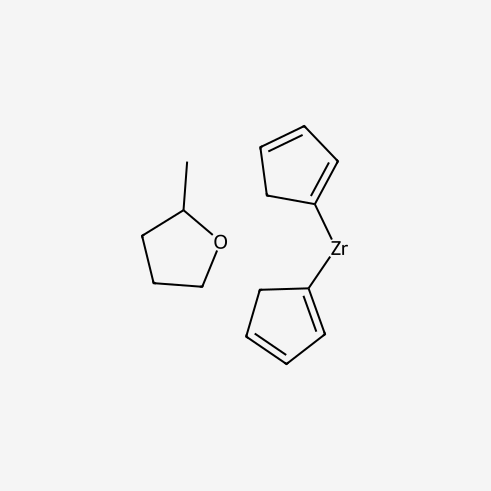 C1=CC[C]([Zr][C]2=CC=CC2)=C1.CC1CCCO1